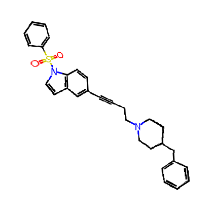 O=S(=O)(c1ccccc1)n1ccc2cc(C#CCCN3CCC(Cc4ccccc4)CC3)ccc21